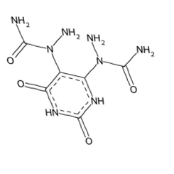 NC(=O)N(N)c1[nH]c(=O)[nH]c(=O)c1N(N)C(N)=O